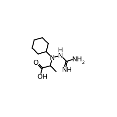 CC(C(=O)O)N(NC(=N)N)C1CCCCC1